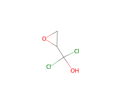 OC(Cl)(Cl)C1CO1